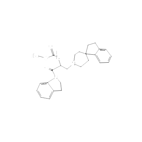 CC(C)(C)OC(=O)NC(CN1CCC2(CCc3ccccc32)CC1)C(=O)N1CCc2ccccc21